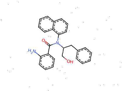 Nc1ccccc1C(=O)N(c1cccc2ccccc12)C(CO)Cc1ccccc1